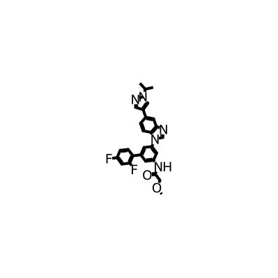 COCC(=O)Nc1cc(-c2ccc(F)cc2F)cc(-n2cnc3cc(-c4cnn(C(C)C)c4)ccc32)c1